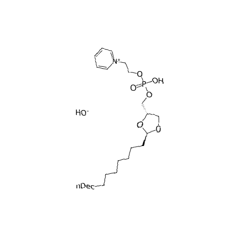 CCCCCCCCCCCCCCCCC[C@@H]1OC[C@@H](COP(=O)(O)OCC[n+]2ccccc2)O1.[OH-]